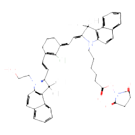 CC1(C)C(/C=C/C2=C(Cl)C(=C/C=C3\N(CCCCCC(=O)ON4C(=O)CCC4=O)c4ccc5ccccc5c4C3(C)C)/CCC2)=[N+](CCO)c2ccc3ccccc3c21